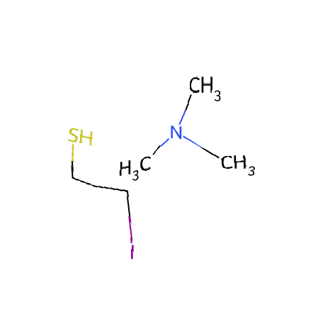 CN(C)C.SCCI